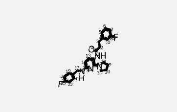 O=C(CCc1cccc(F)c1)Nc1ccc(NCc2ccc(F)cc2)nc1N1CCCC1